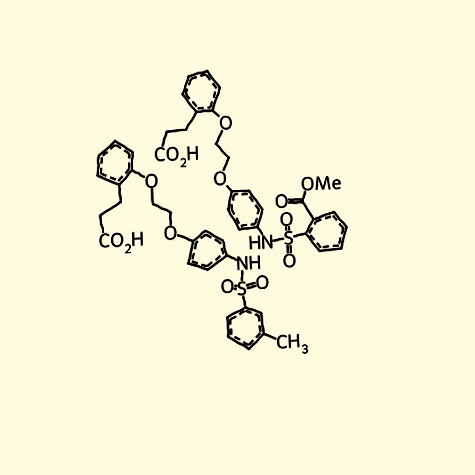 COC(=O)c1ccccc1S(=O)(=O)Nc1ccc(OCCOc2ccccc2CCC(=O)O)cc1.Cc1cccc(S(=O)(=O)Nc2ccc(OCCOc3ccccc3CCC(=O)O)cc2)c1